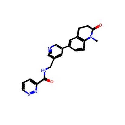 CN1C(=O)CCc2cc(-c3cncc(CNC(=O)c4cccnn4)c3)ccc21